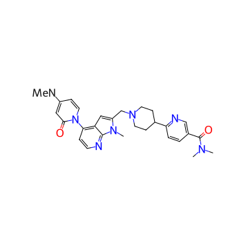 CNc1ccn(-c2ccnc3c2cc(CN2CCC(c4ccc(C(=O)N(C)C)cn4)CC2)n3C)c(=O)c1